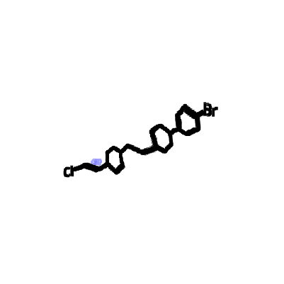 Cl/C=C/C1CCC(CCC2CCC(c3ccc(Br)cc3)CC2)CC1